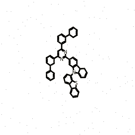 C1=CCC(c2cccc(-c3cc(C4=CC=CC(c5ccccc5)C4)nc(-c4ccc5c(c4)N(c4cccc6c4sc4ccccc46)C4=CC=CCC45)n3)c2)C=C1